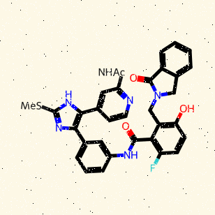 CSc1nc(-c2cccc(NC(=O)c3c(F)ccc(O)c3CN3Cc4ccccc4C3=O)c2)c(-c2ccnc(NC(C)=O)c2)[nH]1